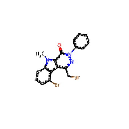 Cn1c2cccc(Br)c2c2c(CBr)nn(-c3ccccc3)c(=O)c21